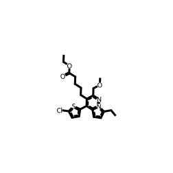 CCOC(=O)CCCCc1c(COC)nn2c(CC)ccc2c1-c1ccc(Cl)s1